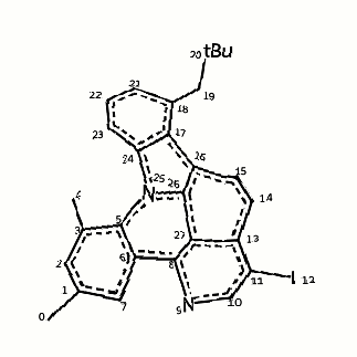 Cc1cc(C)c2c(c1)c1ncc(I)c3ccc4c5c(CC(C)(C)C)cccc5n2c4c31